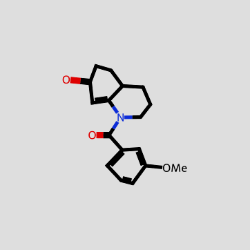 COc1cccc(C(=O)N2CCCC3CCC(=O)C=C32)c1